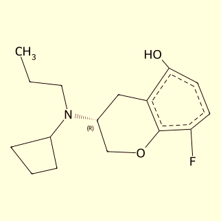 CCCN(C1CCC1)[C@H]1COc2c(F)ccc(O)c2C1